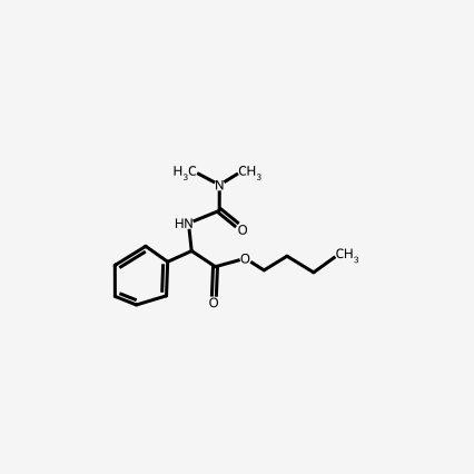 CCCCOC(=O)C(NC(=O)N(C)C)c1ccccc1